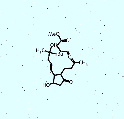 CCCCC(C)(O)C/C=C/C1C(O)CC(=O)C1CCC(C)=C=CCCC(=O)OC